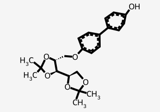 CC1(C)OC[C@H]([C@H]2OC(C)(C)O[C@@H]2COc2ccc(-c3ccc(O)cc3)cc2)O1